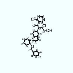 O=C(c1c(Cl)ncnc1Cl)C(CCO)c1ccc2c(ccn2-c2ccccc2OCc2ccccc2)c1